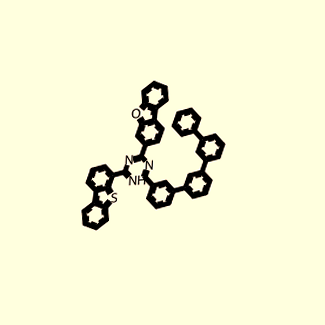 N=C(/N=C(\N=C\c1cccc(-c2cccc(-c3cccc(-c4ccccc4)c3)c2)c1)c1ccc2c(c1)oc1ccccc12)c1cccc2c1sc1ccccc12